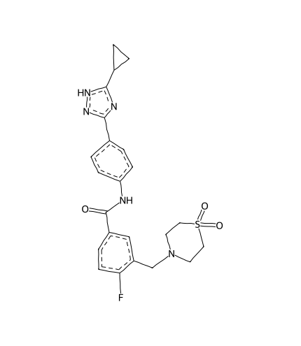 O=C(Nc1ccc(-c2n[nH]c(C3CC3)n2)cc1)c1ccc(F)c(CN2CCS(=O)(=O)CC2)c1